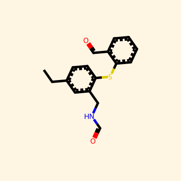 CCc1ccc(Sc2ccccc2C=O)c(CNC=O)c1